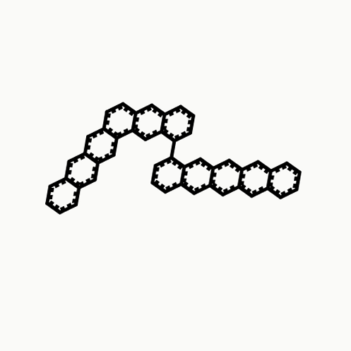 c1ccc2cc3cc4cc5c(-c6cccc7cc8ccc9cc%10cc%11ccccc%11cc%10cc9c8cc67)cccc5cc4cc3cc2c1